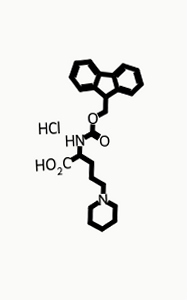 Cl.O=C(NC(CCCN1CCCCC1)C(=O)O)OCC1c2ccccc2-c2ccccc21